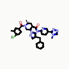 Cc1cc(C(=O)N2Cc3c(c(=O)n(-c4ccc(-c5nncn5C)cn4)c4c(Cc5ccccc5)cnn34)C[C@@H]2C)ccc1Br